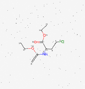 C=C(NC(CCCl)C(=O)OCC)OCC